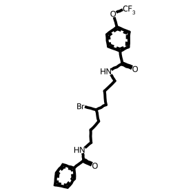 O=C(NCCCC(Br)CCCNC(=O)c1ccc(OC(F)(F)F)cc1)c1ccccc1